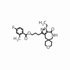 CCn1nc(CCCOC(=O)c2ccc(F)cc2C)c2c1C(=O)NCC1(CCOCC1)C2